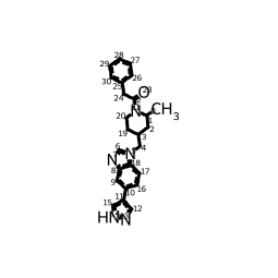 CC1CC(Cn2cnc3cc(-c4cn[nH]c4)ccc32)CCN1C(=O)Cc1ccccc1